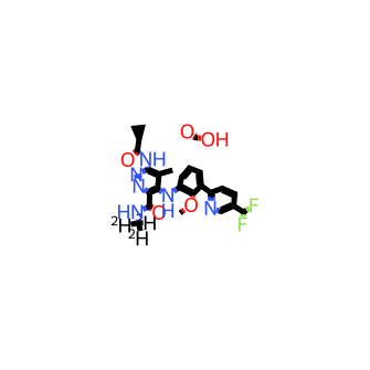 O=CO.[2H]C([2H])([2H])NC(=O)c1nnc(NC(=O)C2CC2)c(C)c1Nc1cccc(-c2ccc(C(F)F)cn2)c1OC